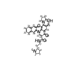 CN1CCCC1CCNC(=O)c1cn2c3c(c(N4CCCC4O)c(F)cc3c1=O)Oc1cc3ccccc3cc1-2